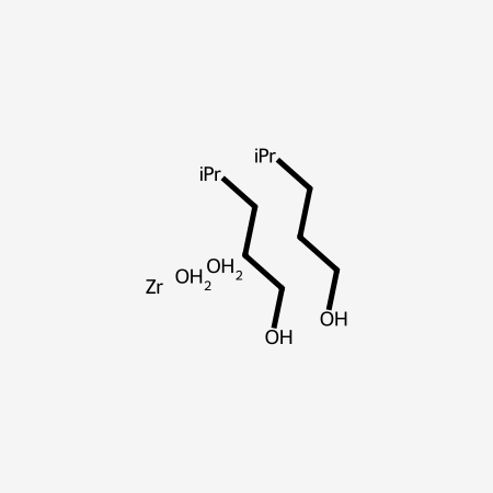 CC(C)CCCO.CC(C)CCCO.O.O.[Zr]